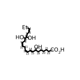 CC/C=C\CC(O)C(O)C/C=C\C/C=C\C=C\C(O)CCCCCC(=O)O